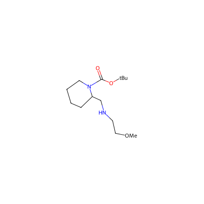 COCCNCC1CCCCN1C(=O)OC(C)(C)C